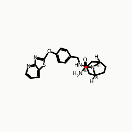 NC(=O)N1[C@@H]2CC[C@H]1C[C@H](NCc1ccc(Oc3nc4ncccc4s3)cc1)C2